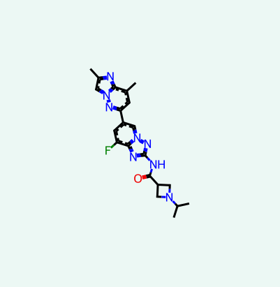 Cc1cn2nc(-c3cc(F)c4nc(NC(=O)C5CN(C(C)C)C5)nn4c3)cc(C)c2n1